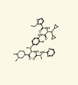 CCn1nccc1C(=O)N[C@H](C(=O)Nc1ccc([C@H](C)[C@@H](NC(=O)[C@H](C)Nc2ncccn2)C(=O)N2CCN(C)[C@H](C)C2)cc1F)C(C1CC1)C1CC1